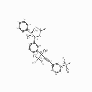 CC(C)CN(c1cccc(C(O)(C#Cc2cccc(S(C)(=O)=O)c2)C(F)(F)F)c1)S(=O)(=O)c1ccccc1